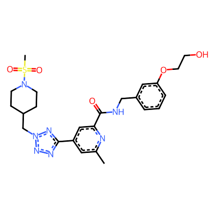 Cc1cc(-c2nnn(CC3CCN(S(C)(=O)=O)CC3)n2)cc(C(=O)NCc2cccc(OCCO)c2)n1